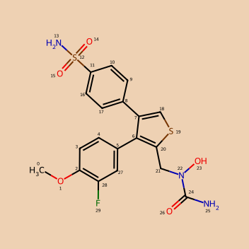 COc1ccc(-c2c(-c3ccc(S(N)(=O)=O)cc3)csc2CN(O)C(N)=O)cc1F